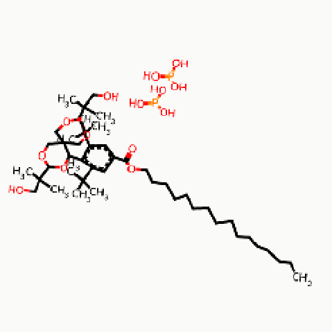 CCCCCCCCCCCCCCCCOC(=O)c1cc(C(C)(C)C)c(C2OC(C(C)(C)CO)OCC23COC(C(C)(C)CO)OC3)c(C(C)(C)C)c1.OP(O)O.OP(O)O